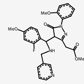 COC(=O)CC1=NN(c2ccccc2OC)C(=O)C1C(NCc1cccnc1)c1ccc(OC)cc1F